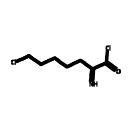 N=C(CCCCCCl)C(=O)Cl